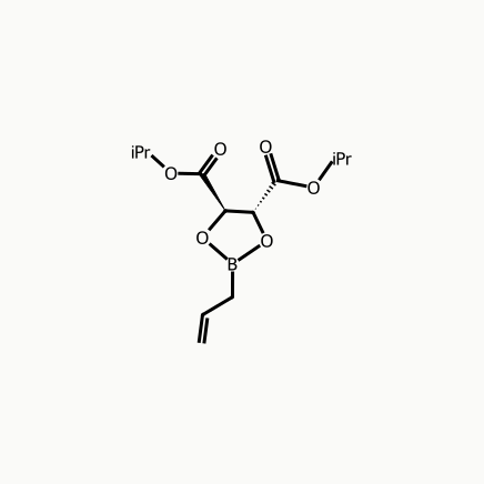 C=CCB1O[C@@H](C(=O)OC(C)C)[C@H](C(=O)OC(C)C)O1